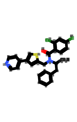 O=C(O)C(Cc1ccccc1)N(Cc1cc(-c2ccncc2)cs1)C(=O)c1ccc(Cl)cc1Cl